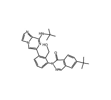 CC(C)(C)Nc1nc(-c2cccc(-n3ncc4cc(C(C)(C)C)ccc4c3=O)c2CO)cn2ccnc12